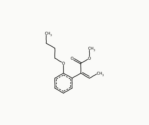 CC=C(C(=O)OC)c1ccccc1OCCCC